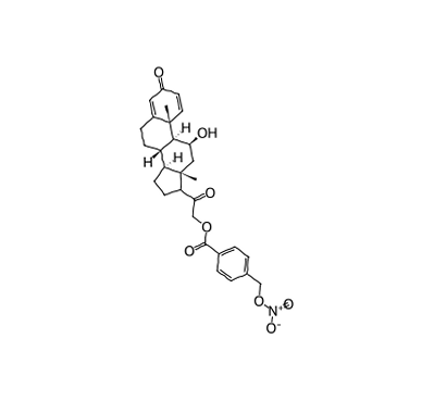 C[C@]12C=CC(=O)C=C1CC[C@@H]1[C@@H]2[C@@H](O)C[C@]2(C)C(C(=O)COC(=O)c3ccc(CO[N+](=O)[O-])cc3)CC[C@@H]12